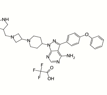 Nc1ncnc2c1c(-c1ccc(Oc3ccccc3)cc1)nn2C1CCN(C2CN(CC3CCNC3)C2)CC1.O=C(O)C(F)(F)F